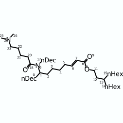 CCCCCCCCCCC(CCCCC=CC(=O)OCCC(CCCCCC)CCCCCC)N(CCCCCCCCCC)C(=O)CCCCN(C)C